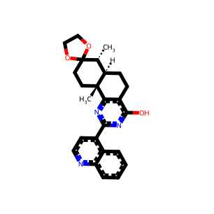 C[C@@H]1[C@H]2CCc3c(O)nc(-c4ccnc5ccccc45)nc3[C@]2(C)CCC12OCCO2